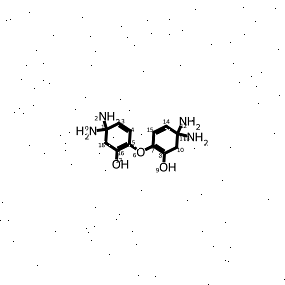 NC1(N)C=CC(OC2=C(O)CC(N)(N)C=C2)=C(O)C1